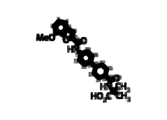 COc1cccc2cc(C(=O)Nc3ccc(C4CCC(C(=O)NC(C)(C)C(=O)O)CC4)cc3)oc12